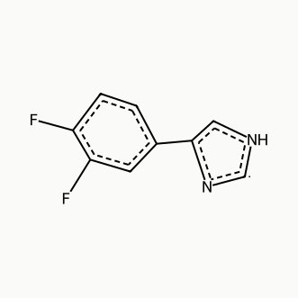 Fc1ccc(-c2c[nH][c]n2)cc1F